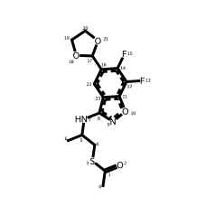 CC(=O)SCC(C)Nc1noc2c(F)c(F)c(C3OCCO3)cc12